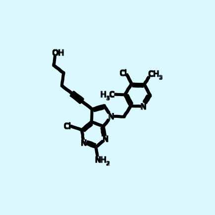 Cc1cnc(Cn2cc(C#CCCCO)c3c(Cl)nc(N)nc32)c(C)c1Cl